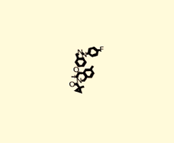 Cc1ccc2c(c1)[C@@H](Oc1ccc3c(cnn3-c3ccc(F)cc3)c1)[C@H](C)N(C(=O)C1(C)CC1)C2